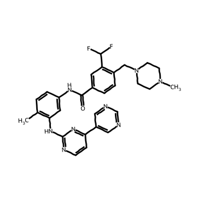 Cc1ccc(NC(=O)c2ccc(CN3CCN(C)CC3)c(C(F)F)c2)cc1Nc1nccc(-c2cncnc2)n1